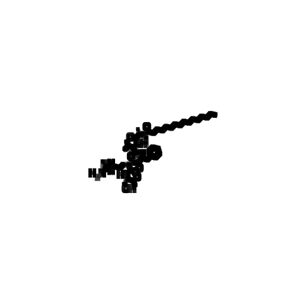 CCCCCCCCCCCCCCCC(=O)N[C@@H](C)C(=O)N[C@H](C(=O)N[C@@H](Cc1ccccc1)C(=O)N[C@@H](CCCNC(=N)N)C(=O)N[C@@H](CO)C(C)=O)C(C)C